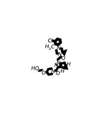 Cc1c(Cl)cccc1N1CCN(C(=O)Cn2nc(C(=O)N3CCC(OCCO)CC3)c3c2C[C@H]2C[C@@H]32)C2(CC2)C1